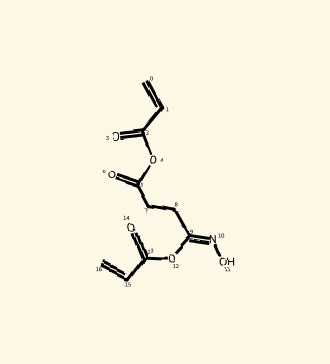 C=CC(=O)OC(=O)CC/C(=N/O)OC(=O)C=C